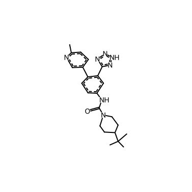 Cc1ccc(-c2ccc(NC(=O)N3CCC(C(C)(C)C)CC3)cc2-c2nn[nH]n2)cn1